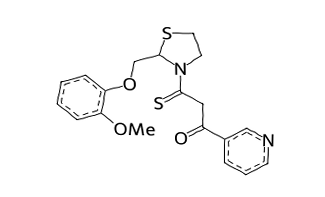 COc1ccccc1OCC1SCCN1C(=S)CC(=O)c1cccnc1